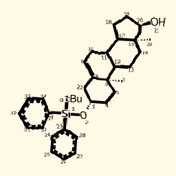 CC(C)(C)[Si](O[C@H]1CC[C@@]2(C)C(=CCC3C2CC[C@@]2(C)C3CC[C@H]2O)C1)(c1ccccc1)c1ccccc1